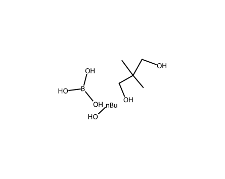 CC(C)(CO)CO.CCCCO.OB(O)O